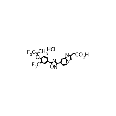 CC(Oc1ccc(-c2nc(-c3ccn4cc(CC(=O)O)nc4c3)no2)cc1C(F)(F)F)C(F)(F)F.Cl